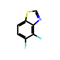 Fc1ccc2scnc2c1F